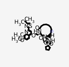 COc1ccc2c(OCC[C@@H]3NC(=O)CCCCC/C=C\[C@@H]4C[C@@]4(C(=O)NS(=O)(=O)C4CCCC4)NC3=O)cc(-c3nc(C(C)C)cs3)nc2c1C